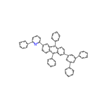 c1ccc(-c2cc(-c3ccccc3)cc(-c3ccc4c(-c5ccccc5)c5cc(-c6cccc(-c7ccccc7)n6)ccc5c(-c5ccccc5)c4c3)c2)cc1